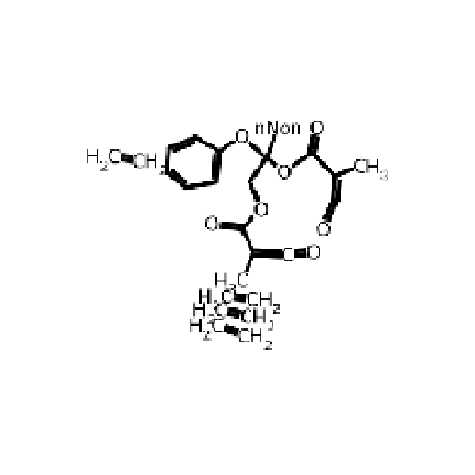 C=C.C=C.C=C.C=C.CCCCCCCCCC(COC(=O)C(C)=C=O)(OC(=O)C(C)=C=O)Oc1ccccc1